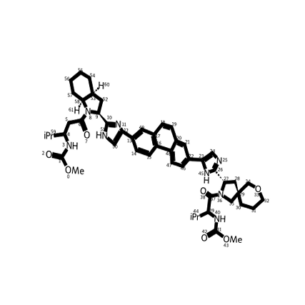 COC(=O)NC(CC(=O)N1[C@H](c2nc(-c3ccc4c(ccc5cc(-c6cnc([C@@H]7C[C@@]8(CCCOC8)CN7C(=O)C(NC(=O)OC)C(C)C)[nH]6)ccc54)c3)c[nH]2)C[C@@H]2CCCC[C@@H]21)C(C)C